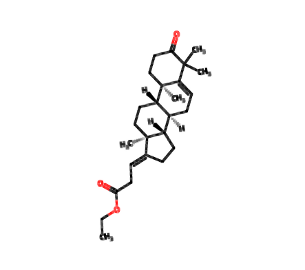 CCOC(=O)C/C=C1\CC[C@H]2[C@@H]3CC=C4C(C)(C)C(=O)CC[C@]4(C)[C@H]3CC[C@]12C